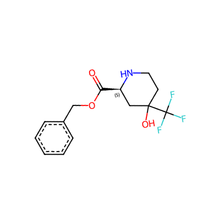 O=C(OCc1ccccc1)[C@@H]1CC(O)(C(F)(F)F)CCN1